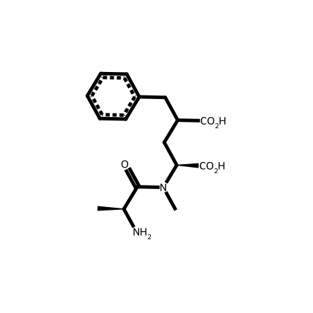 C[C@H](N)C(=O)N(C)[C@@H](CC(Cc1ccccc1)C(=O)O)C(=O)O